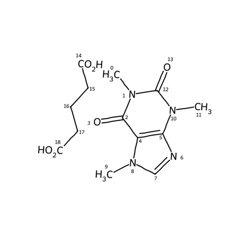 Cn1c(=O)c2c(ncn2C)n(C)c1=O.O=C(O)CCCC(=O)O